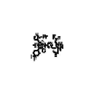 CC(C)n1nccc1C(=O)N[C@H](C(=O)Nc1cnn(C(CC(F)F)c2nnnn2CC(F)F)c1)C1CCC(F)(F)CC1